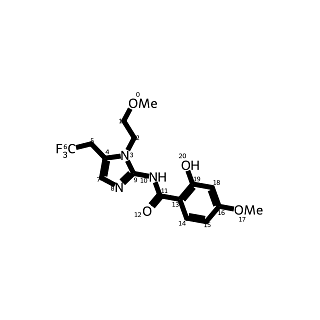 COCCn1c(CC(F)(F)F)cnc1NC(=O)c1ccc(OC)cc1O